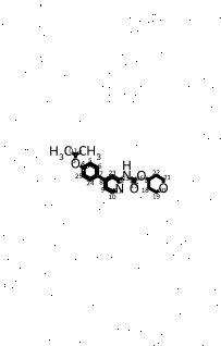 CC(C)Oc1ccc(-c2ccnc(NC(=O)OC3CCOCC3)c2)cc1